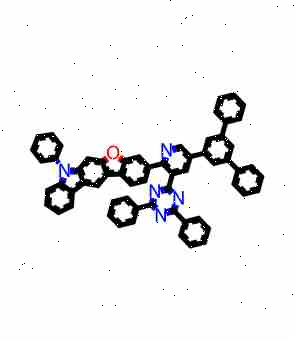 c1ccc(-c2cc(-c3ccccc3)cc(-c3cnc(-c4ccc5c(c4)oc4cc6c(cc45)c4ccccc4n6-c4ccccc4)c(-c4nc(-c5ccccc5)nc(-c5ccccc5)n4)c3)c2)cc1